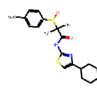 COc1ccc([S+]([O-])C(C)(C)C(=O)Nc2nc(C3CCCCC3)cs2)cc1